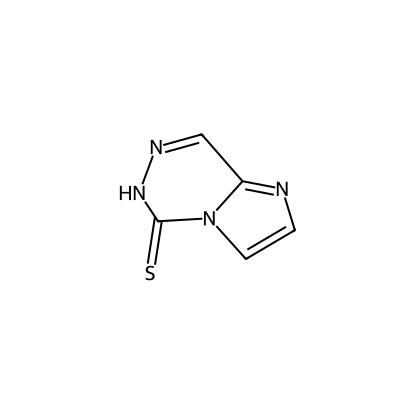 S=c1[nH]ncc2nccn12